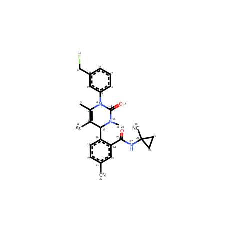 CC(=O)C1=C(C)N(c2cccc(CF)c2)C(=O)N(C)C1c1ccc(C#N)cc1C(=O)NC1(C#N)CC1